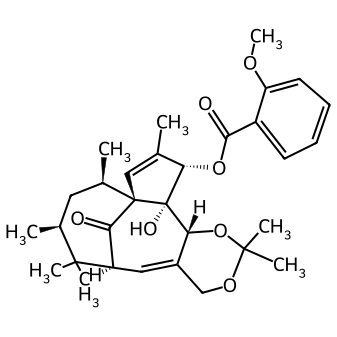 COc1ccccc1C(=O)O[C@H]1C(C)=C[C@]23C(=O)[C@@H](C=C4COC(C)(C)O[C@H]4[C@]12O)C(C)(C)[C@@H](C)C[C@H]3C